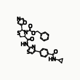 O=C(NC1CC1)c1ccc(-c2csc(NC(=O)C3CSC(c4cnco4)N3C(=O)OCc3ccccc3)n2)cc1